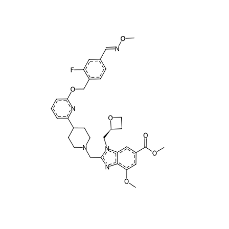 CON=Cc1ccc(COc2cccc(C3CCN(Cc4nc5c(OC)cc(C(=O)OC)cc5n4C[C@@H]4CCO4)CC3)n2)c(F)c1